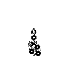 Cc1ccc(Sc2cccc(Oc3ccc(-c4nn(C5CCC(N6CCN(C)CC6)CC5)c5ncnc(N)c45)cc3)c2C#N)cc1